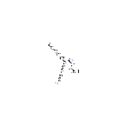 C=C=C=C=C=C(C#CC#CC)/C=C\C=N